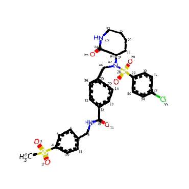 CS(=O)(=O)c1ccc(CNC(=O)c2ccc(CN([C@@H]3CCCCNC3=O)S(=O)(=O)c3ccc(Cl)cc3)cc2)cc1